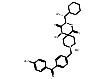 CCCCN1C(=O)[C@@H]([C@H](O)C2CCCCC2)NC(=O)C12CCN(Cc1ccc(C(=O)c3ccc(OC)cc3)cc1)CC2.Cl